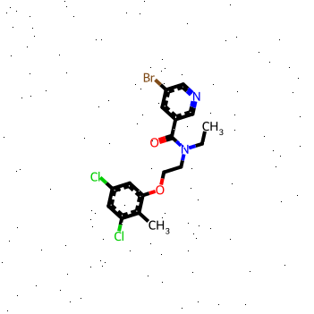 CCN(CCOc1cc(Cl)cc(Cl)c1C)C(=O)c1cncc(Br)c1